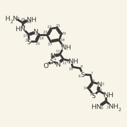 N=C(N)Nc1nc(CSCCNc2n[s+]([O-])nc2Nc2cccc(-c3csc(NC(=N)N)n3)c2)cs1